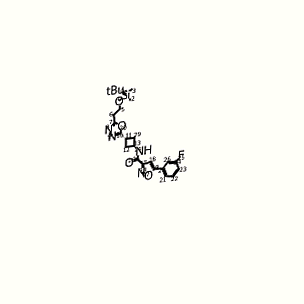 CC(C)(C)[Si](C)(C)OCCc1nnc([C@H]2C[C@H](NC(=O)c3cc(-c4cccc(F)c4)on3)C2)o1